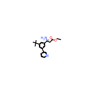 CCOC(=O)C[C@H](N)c1cc(-c2cccnc2)cc(C(C)(C)C)c1